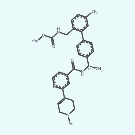 CC(=O)N1CC=C(c2cc(C(=O)N[C@H](C)c3ccc(-c4cc(C(F)(F)F)ccc4CNC(=O)OC(C)(C)C)cc3)ccn2)CC1